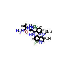 CC(C)(C)CNc1c(C#N)cnc2c(F)cc(NC(c3cn(C4(C(N)=O)CC4)nn3)c3ccccc3Cl)cc12